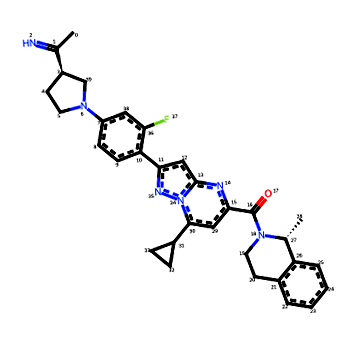 CC(=N)[C@@H]1CCN(c2ccc(-c3cc4nc(C(=O)N5CCc6ccccc6[C@H]5C)cc(C5CC5)n4n3)c(F)c2)C1